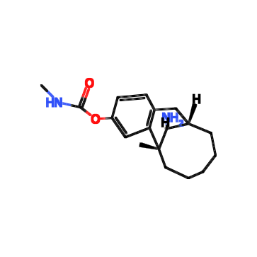 CNC(=O)Oc1ccc2c(c1)[C@@]1(C)CCCCC[C@@H](C2)[C@@H]1N